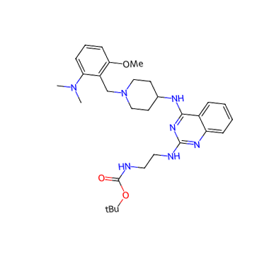 COc1cccc(N(C)C)c1CN1CCC(Nc2nc(NCCNC(=O)OC(C)(C)C)nc3ccccc23)CC1